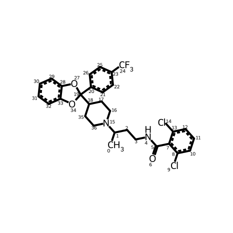 CC(CCNC(=O)c1c(Cl)cccc1Cl)N1CCC(C2(c3ccc(C(F)(F)F)cc3)Oc3ccccc3O2)CC1